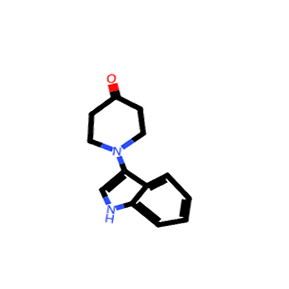 O=C1CCN(c2c[nH]c3ccccc23)CC1